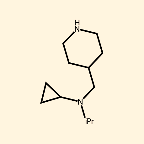 CC(C)N(CC1CCNCC1)C1CC1